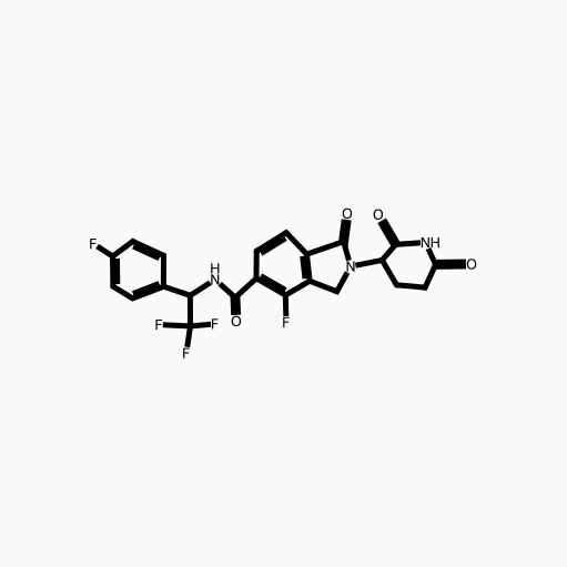 O=C1CCC(N2Cc3c(ccc(C(=O)NC(c4ccc(F)cc4)C(F)(F)F)c3F)C2=O)C(=O)N1